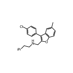 Cc1ccc2oc(CNCCC(C)C)c(-c3ccc(Cl)cc3)c2c1